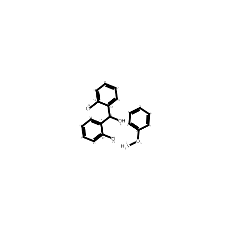 NOc1ccccc1.OC(c1ccccc1Cl)c1ccccc1Cl